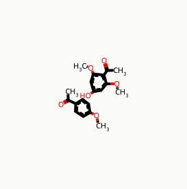 COc1cc(O)cc(OC)c1C(C)=O.COc1ccc(C(C)=O)cc1